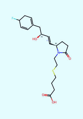 O=C(O)CCCSCCN1C(=O)CC[C@@H]1/C=C/[C@@H](O)CC1=CCC(F)C=C1